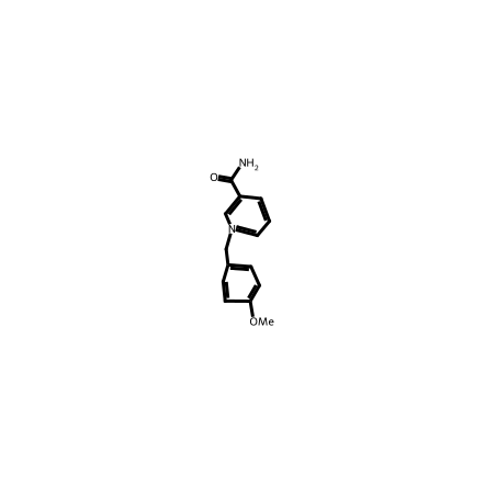 COc1ccc(C[n+]2cccc(C(N)=O)c2)cc1